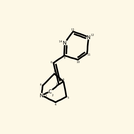 C(=C1CN2CCC1CC2)c1ccncn1